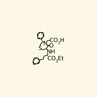 CCOC(=O)[C@H](CCc1ccccc1)NC1CSC[C@@H](c2ccccc2)N(CC(=O)O)C1=O